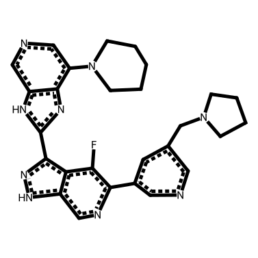 Fc1c(-c2cncc(CN3CCCC3)c2)ncc2[nH]nc(-c3nc4c(N5CCCCC5)cncc4[nH]3)c12